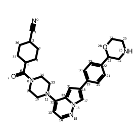 N#CC1CCC(C(=O)N2CCN(c3ccnn4cc(-c5ccc(C6CNCCO6)cc5)cc34)CC2)CC1